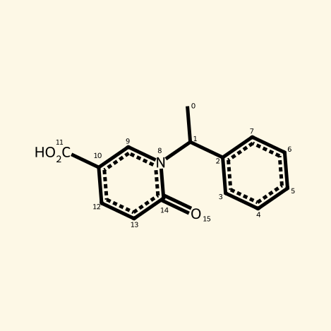 CC(c1ccccc1)n1cc(C(=O)O)ccc1=O